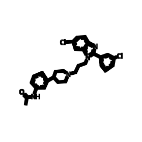 CC(=O)Nc1cccc(C2CCN(CCCn3c(-c4cccc(Cl)c4)nc4ccc(Cl)cc43)CC2)c1